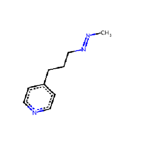 CN=NCCCc1ccncc1